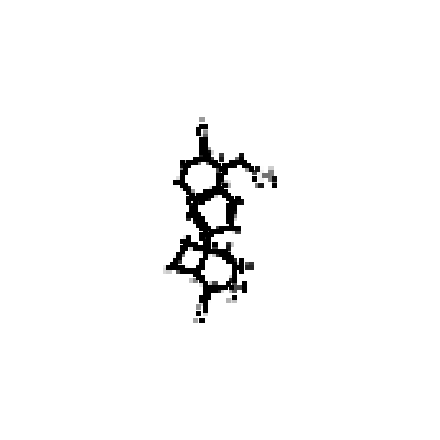 CCN1C(=O)CCc2cc(C34C=NNC(=O)C3CC4)ccc21